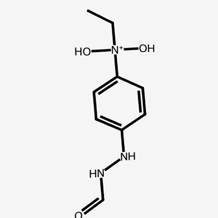 CC[N+](O)(O)c1ccc(NNC=O)cc1